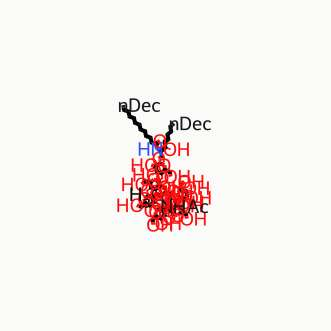 CCCCCCCCCCCCC/C=C/[C@@H](O)[C@H](CO[C@@H]1OC(CO)[C@@H](O[C@@H]2OC(CO)[C@H](O[C@@H]3OC(CO)[C@H](O)[C@H](O[C@@H]4OC(CO)[C@H](O)[C@H](O[C@@H]5OC(CO)[C@H](O)[C@H](O[C@H]6OC(CO)[C@H](O)[C@H](O)C6O)C5O[C@H]5OC(C)[C@@H](O)C(O)[C@@H]5O)C4NC(C)=O)C3O)[C@H](O)C2O)[C@H](O)C1O)NC(=O)CCCCCCCCCCCCCCCCCCCCC